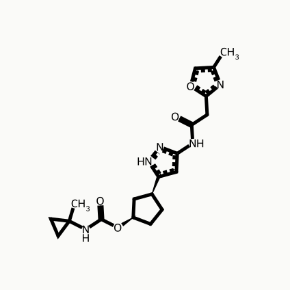 Cc1coc(CC(=O)Nc2cc([C@H]3CC[C@@H](OC(=O)NC4(C)CC4)C3)[nH]n2)n1